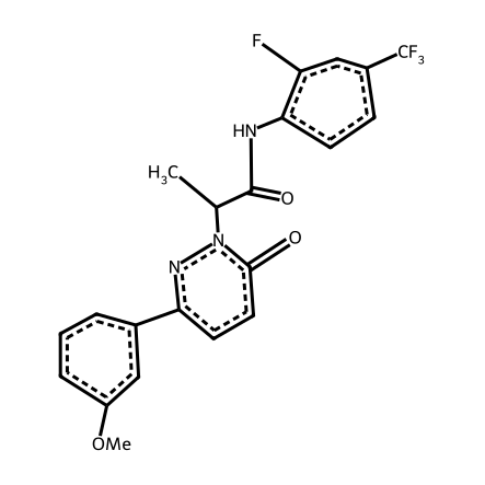 COc1cccc(-c2ccc(=O)n(C(C)C(=O)Nc3ccc(C(F)(F)F)cc3F)n2)c1